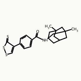 CC12CC3CC(C)(C1)CC(NC(=O)c1ccc(-c4cssc4=S)cc1)(C3)C2